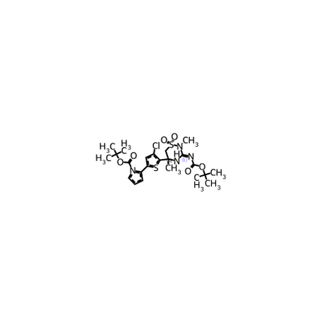 CN1/C(=N/C(=O)OC(C)(C)C)N[C@](C)(c2sc(-c3cccn3C(=O)OC(C)(C)C)cc2Cl)CS1(=O)=O